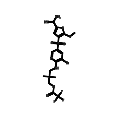 CSc1sc(C(=N)N)cc1S(=O)(=O)c1cnc(NCC(C)(C)COC(=O)C(F)(F)F)c(Br)c1